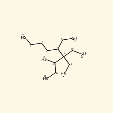 S[CH]CCC(CS)C(CS)(CS)[C](S)CS